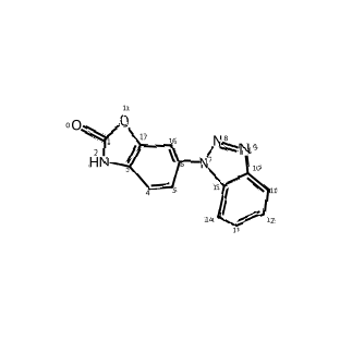 O=c1[nH]c2ccc(-n3nnc4ccccc43)cc2o1